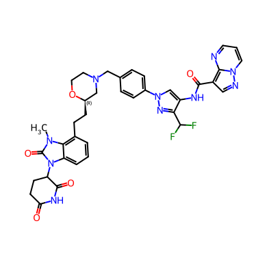 Cn1c(=O)n(C2CCC(=O)NC2=O)c2cccc(CC[C@@H]3CN(Cc4ccc(-n5cc(NC(=O)c6cnn7cccnc67)c(C(F)F)n5)cc4)CCO3)c21